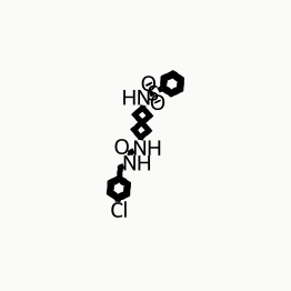 O=C(NCc1ccc(Cl)cc1)NC1CC2(C1)CC(NS(=O)(=O)c1ccccc1)C2